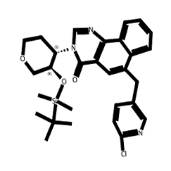 CC(C)(C)[Si](C)(C)O[C@H]1COCC[C@@H]1n1cnc2c(cc(Cc3ccc(Cl)nc3)c3ccccc32)c1=O